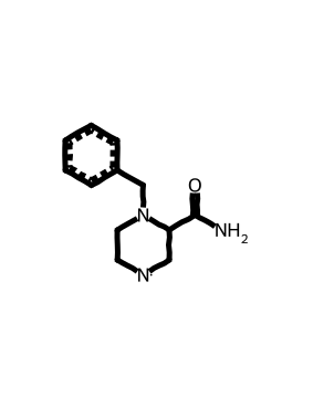 NC(=O)C1C[N]CCN1Cc1ccccc1